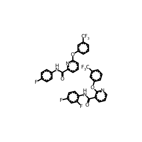 O=C(Nc1ccc(F)cc1)c1cccc(Oc2cccc(C(F)(F)F)c2)n1.O=C(Nc1ccc(F)cc1F)c1cccnc1Oc1cccc(C(F)(F)F)c1